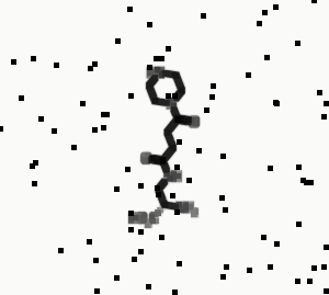 N[C@@H](CNC(=O)CCC(=O)N1CCNCC1)C(=O)O